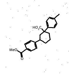 COC(=O)c1ccc(C2CCCC(C(=O)O)(c3ccc(C)cc3)C2)cc1